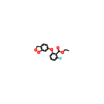 CCOC(=O)c1c(F)cccc1Oc1ccc2c(c1)OOC2